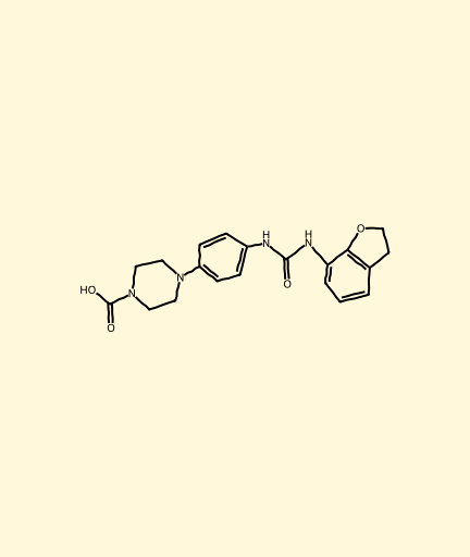 O=C(Nc1ccc(N2CCN(C(=O)O)CC2)cc1)Nc1cccc2c1OCC2